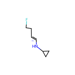 FCC/C=C/NC1CC1